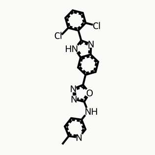 Cc1ccc(Nc2nnc(-c3ccc4nc(-c5c(Cl)cccc5Cl)[nH]c4c3)o2)cn1